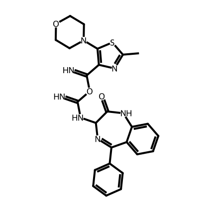 Cc1nc(C(=N)OC(=N)NC2N=C(c3ccccc3)c3ccccc3NC2=O)c(N2CCOCC2)s1